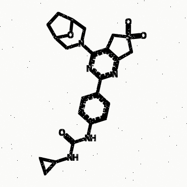 O=C(Nc1ccc(-c2nc3c(c(N4CC5CCC(C4)O5)n2)CS(=O)(=O)C3)cc1)NC1CC1